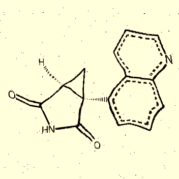 O=C1NC(=O)[C@]2(c3cccc4ncccc34)C[C@H]12